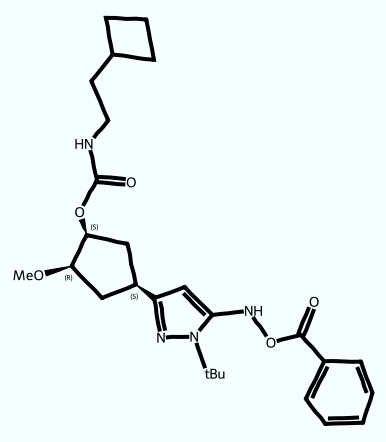 CO[C@@H]1C[C@H](c2cc(NOC(=O)c3ccccc3)n(C(C)(C)C)n2)C[C@@H]1OC(=O)NCCC1CCC1